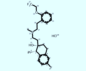 CC(C)[C@H]1c2ccc(F)cc2CC[C@]1(O)CCN(C)CCc1ccccc1OCC(F)(F)F.Cl